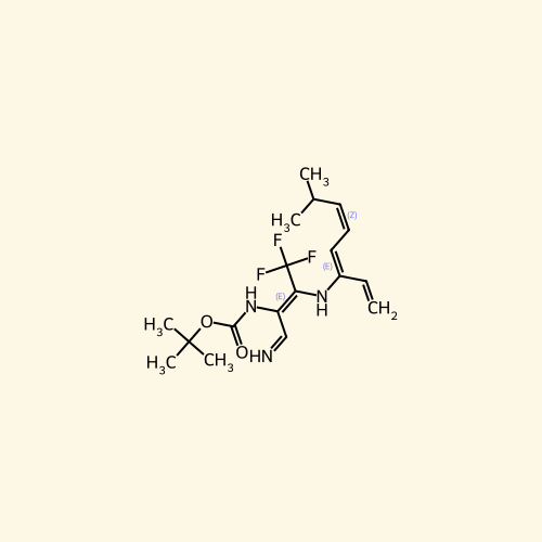 C=C/C(=C\C=C/C(C)C)N/C(=C(\C=N)NC(=O)OC(C)(C)C)C(F)(F)F